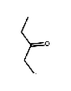 [CH2]CC(=O)CC